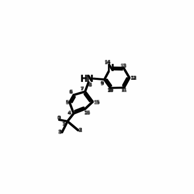 CC(C)(C)c1ccc(Nc2ccccn2)cc1